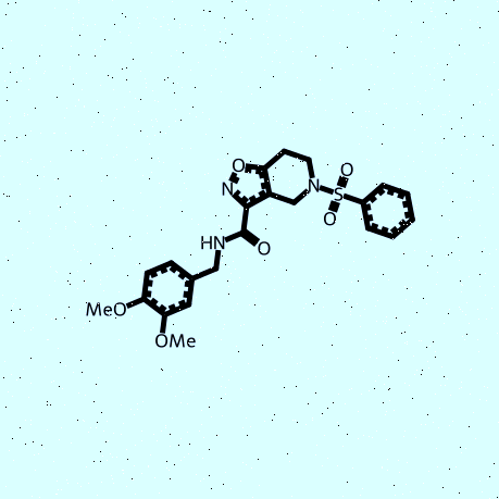 COc1ccc(CNC(=O)c2noc3c2CN(S(=O)(=O)c2ccccc2)CC3)cc1OC